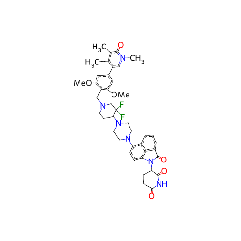 COc1cc(-c2cn(C)c(=O)c(C)c2C)cc(OC)c1CN1CCC(N2CCN(c3ccc4c5c(cccc35)C(=O)N4C3CCC(=O)NC3=O)CC2)C(F)(F)C1